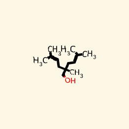 CC(C)=CCC(C)(CO)CC=C(C)C